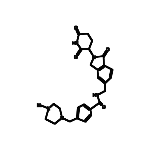 CCN1CCN(Cc2ccc(C(=O)NCc3ccc4c(c3)CN(C3CCC(=O)NC3=O)C4=O)cc2)CC1